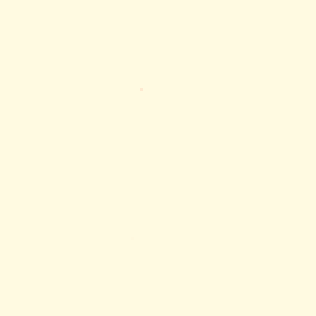 CN(C)CCC(=O)c1ccc(C2CCCCC2)c(Cl)c1